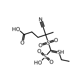 CC[SH]=C(S(=O)(=O)O)S(=O)(=O)C(C)(C#N)CCC(=O)O